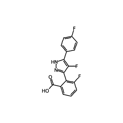 O=C(O)c1cccc(F)c1-c1n[nH]c(-c2ccc(F)cc2)c1F